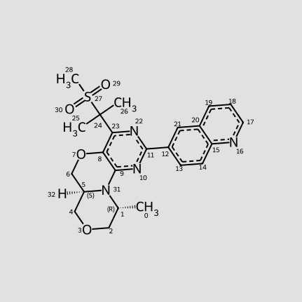 C[C@@H]1COC[C@H]2COc3c(nc(-c4ccc5ncccc5c4)nc3C(C)(C)S(C)(=O)=O)N21